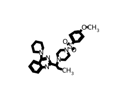 CCC(c1nc(N2CCCCC2)c2ccccc2n1)N1CCN(S(=O)(=O)c2ccc(OC)cc2)CC1